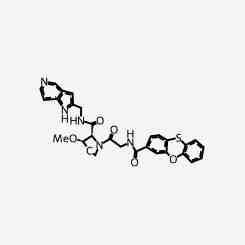 CO[C@@H]1CCN(C(=O)CNC(=O)c2ccc3c(c2)Oc2ccccc2S3)[C@@H]1C(=O)NCc1cc2cnccc2[nH]1